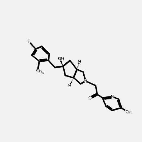 Cc1cc(F)ccc1C[C@]1(O)C[C@H]2CN(CC(=O)c3ccc(O)cn3)C[C@H]2C1